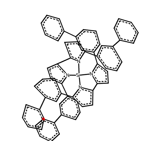 c1ccc(-c2cccc(-c3ccc4n3[Si]3(n5c(-c6cccc(-c7ccccc7)c6)ccc5-4)n4c(-c5cccc(-c6ccccc6)c5)ccc4-c4ccc(-c5cccc(-c6ccccc6)c5)n43)c2)cc1